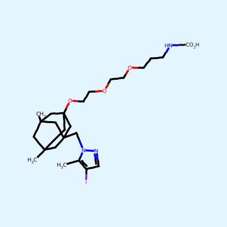 Cc1c(I)cnn1CC12CC3(C)CC(C)(C1)CC(OCCOCCOCCCNC(=O)O)(C3)C2